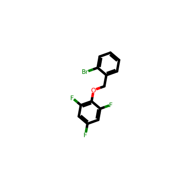 Fc1cc(F)c(OCc2ccccc2Br)c(F)c1